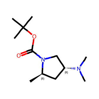 C[C@@H]1C[C@@H](N(C)C)CN1C(=O)OC(C)(C)C